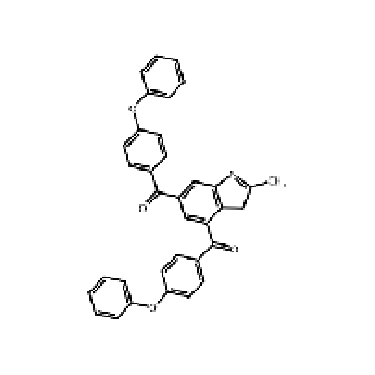 CC1=Nc2cc(C(=O)c3ccc(Oc4ccccc4)cc3)cc(C(=O)c3ccc(Oc4ccccc4)cc3)c2C1